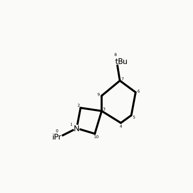 CC(C)N1CC2(CCCC(C(C)(C)C)C2)C1